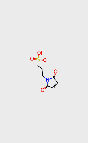 O=C1C=CC(=O)N1CCCS(=O)(=O)O